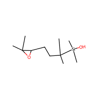 CC1(C)OC1CCC(C)(C)[Si](C)(C)O